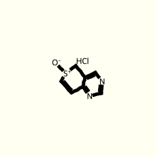 Cl.[O-][S+]1C=Cc2ncncc2C1